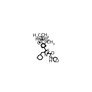 COc1cc(-c2sc(C(=O)NC3CCOCC3)nc2CC2CCCCC2)ccc1S(=O)(=O)NC(C)(C)C